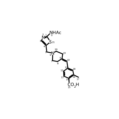 CC(=O)Nc1ncc(CN2CCC(=Cc3ccc(C(=O)O)c(C)c3)CC2)s1